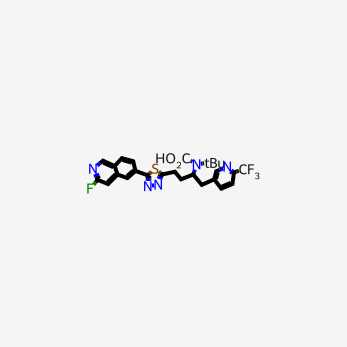 CC(C)(C)N(C(=O)O)C(CCc1nnc(-c2ccc3cnc(F)cc3c2)s1)Cc1ccc(C(F)(F)F)nc1